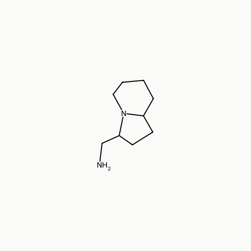 NCC1CCC2CCCCN12